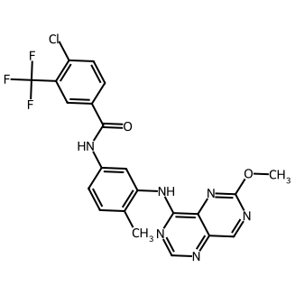 COc1ncc2ncnc(Nc3cc(NC(=O)c4ccc(Cl)c(C(F)(F)F)c4)ccc3C)c2n1